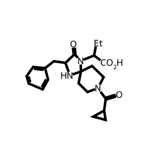 CCC(C(=O)O)N1C(=O)C(Cc2ccccc2)NC12CCN(C(=O)C1CC1)CC2